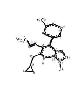 CCn1ncc2c(-c3cncc(C)c3)c(/C=C/C(=O)O)c(CC3CC3)nc21